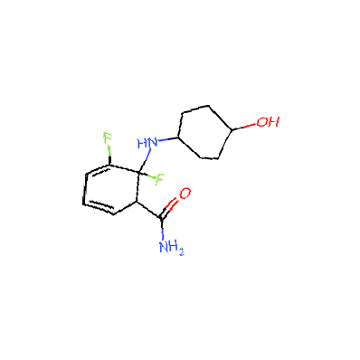 NC(=O)C1C=CC=C(F)C1(F)NC1CCC(O)CC1